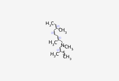 C\C=C(C)/C=C\C=C(/C)CN(C)/C=C(/C)SC